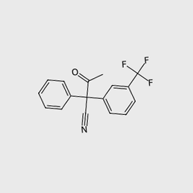 CC(=O)C(C#N)(c1ccccc1)c1cccc(C(F)(F)F)c1